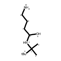 CC(C)(C)C(C)(C)NC(O)CCCN